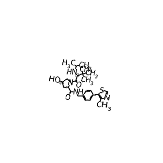 Cc1ncsc1-c1ccc(CNC(=O)C2C[C@@H](O)CN2C(=O)[C@@H](NC(C)C)C(C)(C)C)cc1